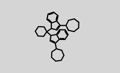 C1=C(C2CCCCCC2)c2ccccc2C1C1(C2C=C(C3CCCCCC3)c3ccccc32)CCCCC1